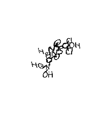 NC(=O)c1c(NC(=O)c2cccc(CN(CCO)CCO)c2)sc2c(Cl)c(O)c(Cl)cc12